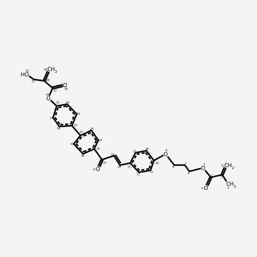 C=C(C)C(=O)OCCCOc1ccc(/C=C/C(=O)c2ccc(-c3ccc(OC(=O)C(=C)CO)cc3)cc2)cc1